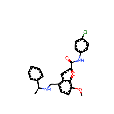 COc1ccc(CN[C@@H](C)c2ccccc2)c2cc(C(=O)Nc3ccc(Cl)cc3)oc12